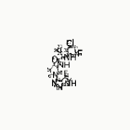 O=C(NC1CCCN(c2ncnc3[nH]cc(F)c23)C1)C(Nc1cc(F)cc(Cl)c1)C1CC1